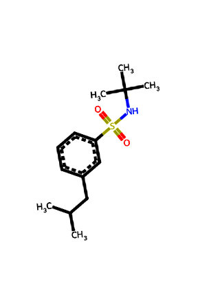 CC(C)Cc1cccc(S(=O)(=O)NC(C)(C)C)c1